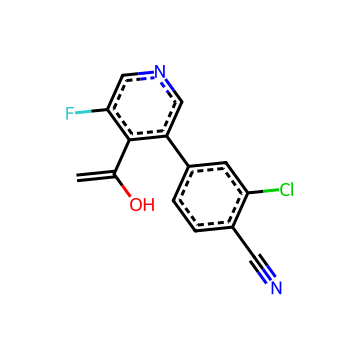 C=C(O)c1c(F)cncc1-c1ccc(C#N)c(Cl)c1